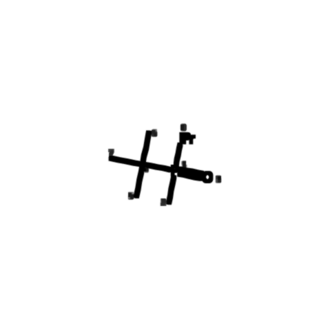 CC(C)P(C)(=O)C(C)(C)C